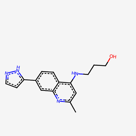 Cc1cc(NCCCO)c2ccc(-c3ccn[nH]3)cc2n1